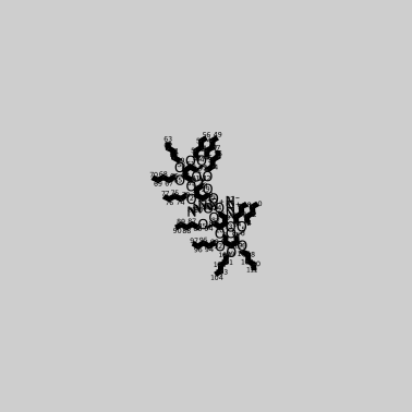 CCCCCOC[C@H]1O[C@@H](O[C@H]2[C@H](OCCCCC)[C@H](N=[N+]=[N-])[C@H](O[N+](=O)O[C@@H]3O[C@H](COCCCCC)[C@@H](O[C@@H]4O[C@H](COCCCCC)[C@H](OCCCCC)[C@H](OCCCCC)[C@H]4OCCCCC)[C@H](OCCCCC)[C@@H]3N=[N+]=[N-])O[C@@H]2COCCCCC)[C@H](OCCCCC)[C@@H](OCCCCC)[C@H]1OCCCCC